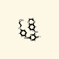 OCCOc1ccc(Nc2ncc(F)c(Nc3ccc4c(c3)N=CCO4)n2)cc1